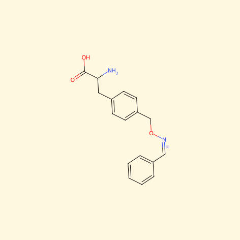 NC(Cc1ccc(CO/N=C\c2ccccc2)cc1)C(=O)O